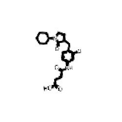 O=C(O)CCC(=O)Nc1ccc(CC2CCN(C3CCCCC3)C2=O)c(Cl)c1